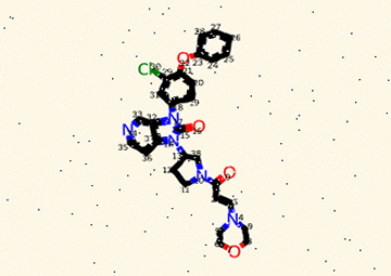 O=C(C=CN1CCOCC1)N1CCC(n2c(=O)n(-c3ccc(Oc4ccccc4)c(Cl)c3)c3cnccc32)C1